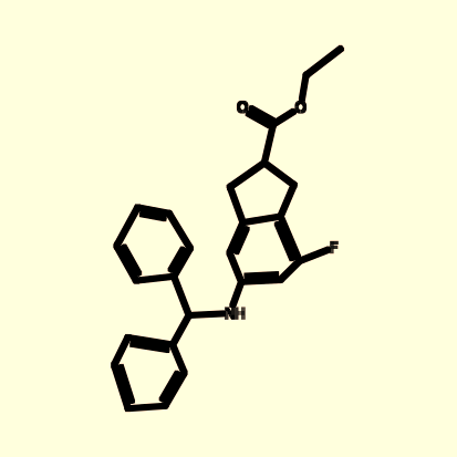 CCOC(=O)C1Cc2cc(NC(c3ccccc3)c3ccccc3)cc(F)c2C1